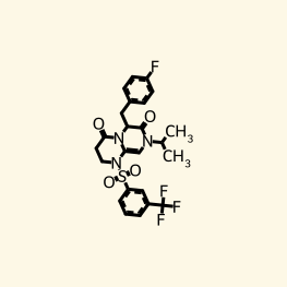 CC(C)N1C=C2N(C(=O)CCN2S(=O)(=O)c2cccc(C(F)(F)F)c2)C(Cc2ccc(F)cc2)C1=O